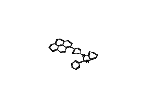 c1ccc(-c2nc3ccccc3n2-c2ccc(-c3ccc4ccc5cccc6ccc3c4c56)cc2)cc1